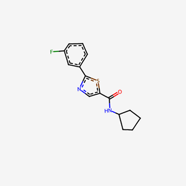 O=C(NC1CCCC1)c1cnc(-c2cccc(F)c2)s1